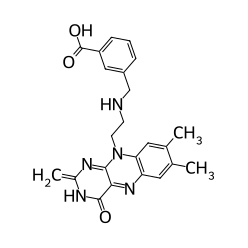 C=c1nc2c(c(=O)[nH]1)=Nc1cc(C)c(C)cc1N2CCNCc1cccc(C(=O)O)c1